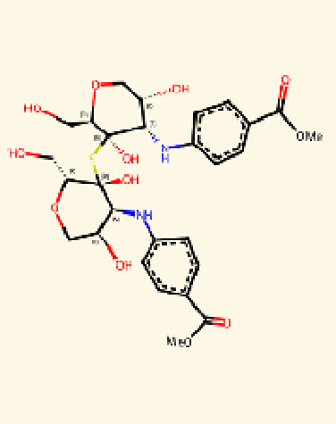 COC(=O)c1ccc(N[C@H]2[C@@H](O)CO[C@H](CO)[C@]2(O)S[C@@]2(O)[C@@H](CO)OC[C@H](O)[C@@H]2Nc2ccc(C(=O)OC)cc2)cc1